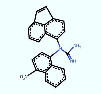 N=C(N)N(c1ccc([N+](=O)[O-])c2ccccc12)c1ccc2c3c(cccc13)C=C2